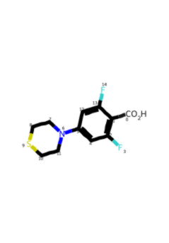 O=C(O)c1c(F)cc(N2CCSCC2)cc1F